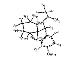 [2H]c1c([2H])c(C([2H])(CN(C)C([2H])([2H])[2H])C2(O)C([2H])([2H])C([2H])([2H])C([2H])([2H])C([2H])([2H])C2([2H])[2H])c([2H])c([2H])c1OC